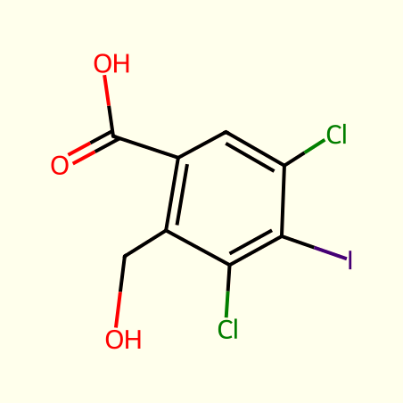 O=C(O)c1cc(Cl)c(I)c(Cl)c1CO